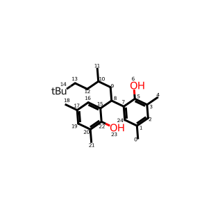 Cc1cc(C)c(O)c(C(CC(C)CCC(C)(C)C)c2cc(C)cc(C)c2O)c1